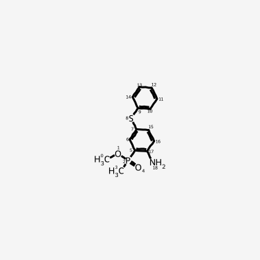 COP(C)(=O)c1cc(Sc2ccccc2)ccc1N